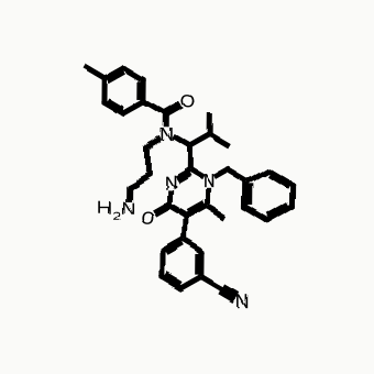 Cc1ccc(C(=O)N(CCCN)C(c2nc(=O)c(-c3cccc(C#N)c3)c(C)n2Cc2ccccc2)C(C)C)cc1